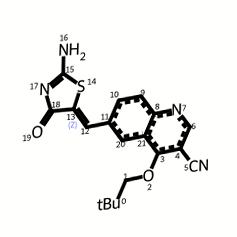 CC(C)(C)COc1c(C#N)cnc2ccc(/C=C3\SC(N)=NC3=O)cc12